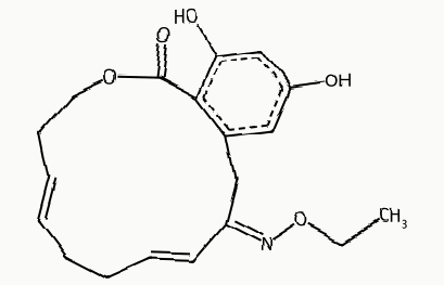 CCO/N=C1/C=C/CC/C=C/CCOC(=O)c2c(O)cc(O)cc2C1